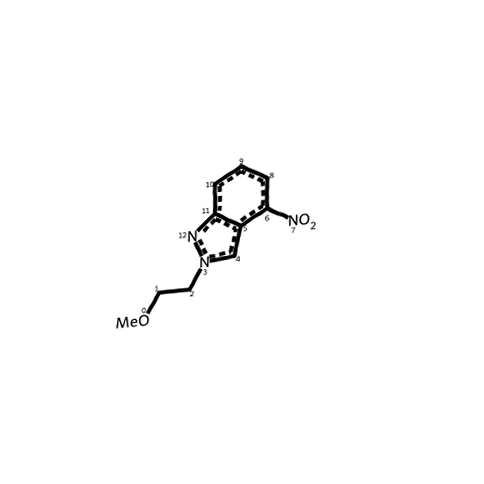 COCCn1cc2c([N+](=O)[O-])cccc2n1